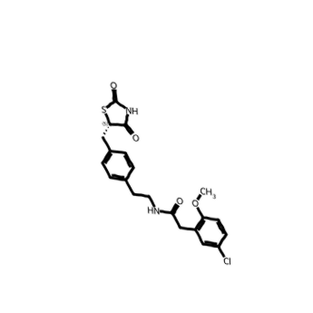 COc1ccc(Cl)cc1CC(=O)NCCc1ccc(C[C@@H]2SC(=O)NC2=O)cc1